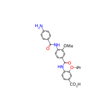 COc1cc(C(=O)Nc2ccc(C(=O)O)cc2OC(C)C)ccc1NC(=O)c1ccc(N)cc1